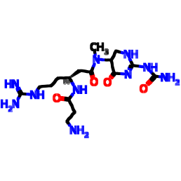 CN(C(=O)C[C@H](CCCNC(=N)N)NC(=O)CCN)C1CNC(NC(N)=O)=NC1=O